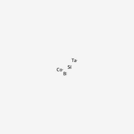 [B].[Co].[Si].[Ta]